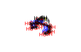 CC(C)(C)[SH](c1ccc(C(=O)NC[C@@H](NC(=O)CN2CCN(CC(=O)O)CCN(CC(=O)O)CCN(CC(=O)O)CC2)C(=O)N[C@H](CCCCNC(=O)CCC(=O)NCCC[C@@H](NC(=O)CC[C@H](NC(=O)N[C@@H](CCC(=O)O)C(=O)O)C(=O)O)C(=O)O)C(=O)O)cc1)C(C)(C)C